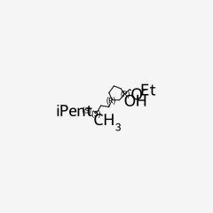 CCC[C@H](C)[C@@H](C)CC[C@H]1CCC[C@](O)(COCC)C1